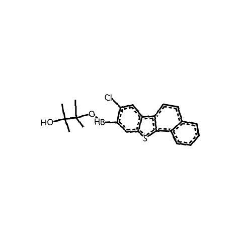 CC(C)(O)C(C)(C)OBc1cc2sc3c4ccccc4ccc3c2cc1Cl